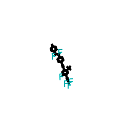 Cc1ccc(/C(F)=C(\F)c2ccc(C#Cc3cc(F)c(C#CC(F)(F)F)cc3C(C)(C)C)cc2)cc1